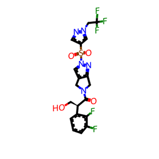 O=C([C@H](CO)c1cccc(F)c1F)N1Cc2cn(S(=O)(=O)c3cnn(CC(F)(F)F)c3)nc2C1